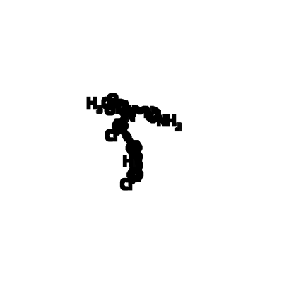 CS(=O)(=O)N1CCc2c(c(-c3ccc(Cl)c(C#Cc4ccc(CNCc5ccc(Cl)cc5)cc4)c3)nn2CCCN2CCC(N)CC2)C1